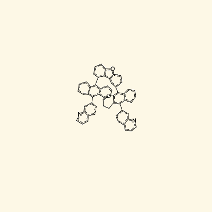 C1=Cc2c(c(-c3ccc4cccnc4c3)c3ccccc3c2-c2ccc3oc4cccc(-c5c6ccccc6c(-c6ccc7cccnc7c6)c6ccccc56)c4c3c2)CC1